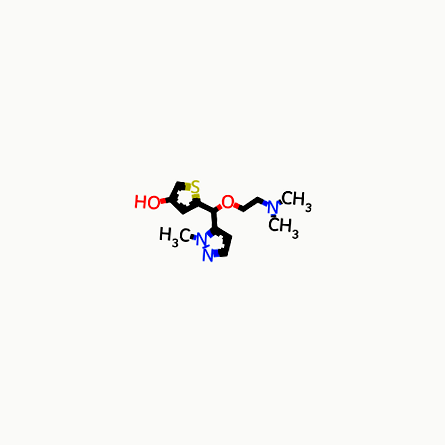 CN(C)CCOC(c1cc(O)cs1)c1ccnn1C